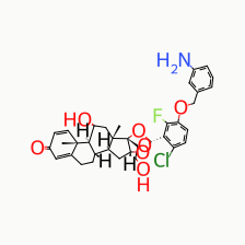 C[C@]12C=CC(=O)C=C1CC[C@@H]1[C@@H]2[C@@H](O)C[C@@]2(C)[C@H]1C[C@H]1O[C@@H](c3c(Cl)ccc(OCc4cccc(N)c4)c3F)O[C@]12C(=O)CO